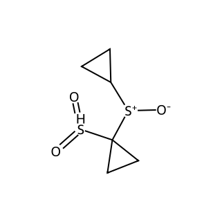 O=[SH](=O)C1([S+]([O-])C2CC2)CC1